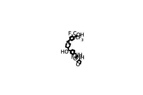 O=C(Nc1ccc(C(O)C2CCN(Cc3ccc(C(O)(C(F)(F)F)C(F)(F)F)cc3)CC2)cc1F)NC1CCOC1